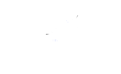 C[C@H](NCC(=O)[C@H](Cc1ccccc1)NC(=O)c1ccccc1)C(=O)O